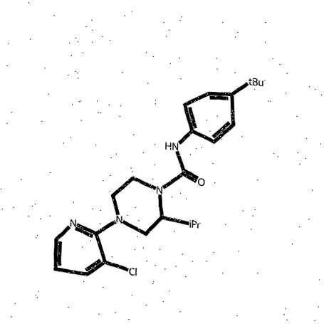 CC(C)C1CN(c2ncccc2Cl)CCN1C(=O)Nc1ccc(C(C)(C)C)cc1